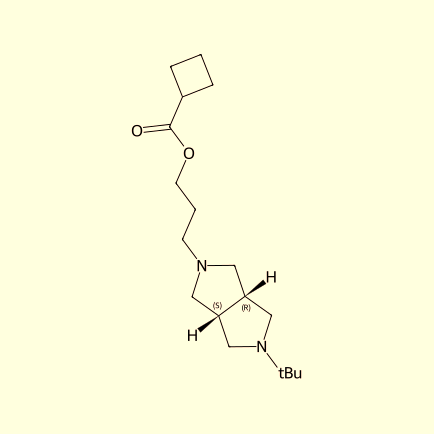 CC(C)(C)N1C[C@H]2CN(CCCOC(=O)C3CCC3)C[C@H]2C1